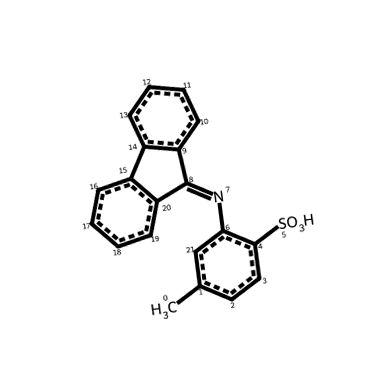 Cc1ccc(S(=O)(=O)O)c(N=C2c3ccccc3-c3ccccc32)c1